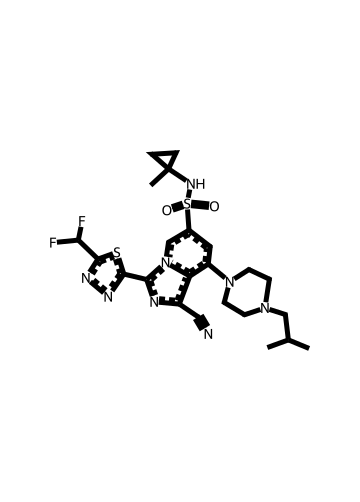 CC(C)CN1CCN(c2cc(S(=O)(=O)NC3(C)CC3)cn3c(-c4nnc(C(F)F)s4)nc(C#N)c23)CC1